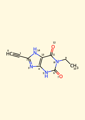 C#Cc1nc2[nH]c(=O)n(CC)c(=O)c2[nH]1